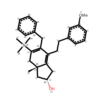 COc1cccc(CCC2=C3C[C@H](O)C[C@]3(C)CC([Si](C)(C)C)=C2Cc2ccccc2)c1